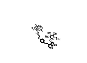 CC(C)(NCCCOc1ccc(CCc2ccnc3[nH]nc(O[C@@H]4O[C@H](CO)[C@@H](O)[C@H](O)[C@H]4O)c23)cc1)C(N)=O